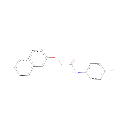 CC(=O)c1ccc(NC(=O)COc2ccc3ccccc3c2)cc1